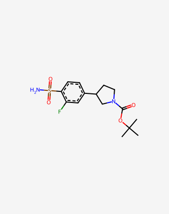 CC(C)(C)OC(=O)N1CCC(c2ccc(S(N)(=O)=O)c(F)c2)C1